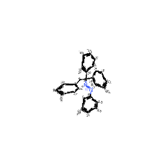 c1ccc(CC(/N=N/c2ccccc2)(c2ccccc2)c2ccccc2)cc1